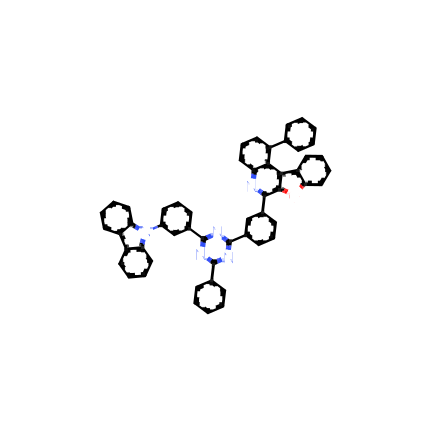 c1ccc(-c2nc(-c3cccc(-c4nc5cccc(-c6ccccc6)c5c5c4oc4ccccc45)c3)nc(-c3cccc(-n4c5ccccc5c5ccccc54)c3)n2)cc1